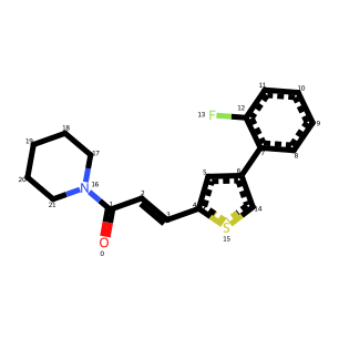 O=C(C=Cc1cc(-c2ccccc2F)cs1)N1CCCCC1